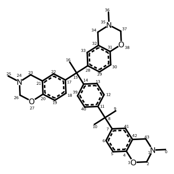 CN1COc2ccc(C(C)(C)c3ccc(C(C)(c4ccc5c(c4)CN(C)CO5)c4ccc5c(c4)CN(C)CO5)cc3)cc2C1